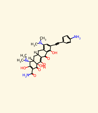 CN(C)c1cc(C#Cc2ccc(N)cc2)c(O)c2c1C[C@H]1C[C@H]3[C@H](N(C)C)C(O)=C(C(N)=O)C(=O)[C@@]3(O)C(O)=C1C2=O